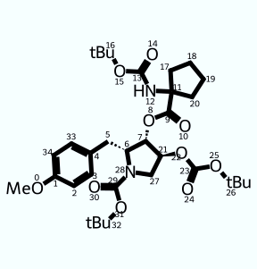 COc1ccc(C[C@@H]2[C@H](OC(=O)C3(NC(=O)OC(C)(C)C)CCCC3)[C@@H](OC(=O)OC(C)(C)C)CN2C(=O)OC(C)(C)C)cc1